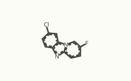 Fc1ccc2nc3ccc(Cl)cc3n2c1